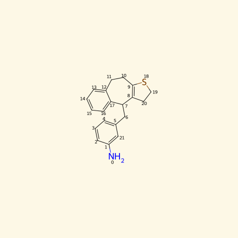 Nc1cccc(CC2C3=C(CCc4ccccc42)SCC3)c1